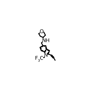 CC#Cc1cc2cc(CNC3CCOCC3)ccc2n1CC(F)(F)F